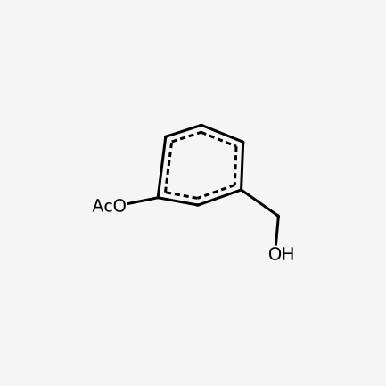 CC(=O)Oc1cccc(CO)c1